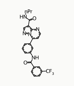 CCCNC(=O)c1cnn2c(-c3cccc(NC(=O)c4cccc(C(F)(F)F)c4)c3)ccnc12